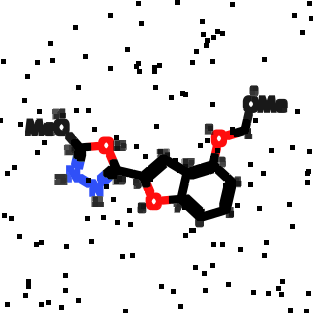 COCOc1cccc2oc(-c3nnc(OC)o3)cc12